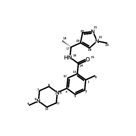 Cc1ccc(N2CCN(C)CC2)cc1C(=O)N[C@H](C)c1cnn(C)c1